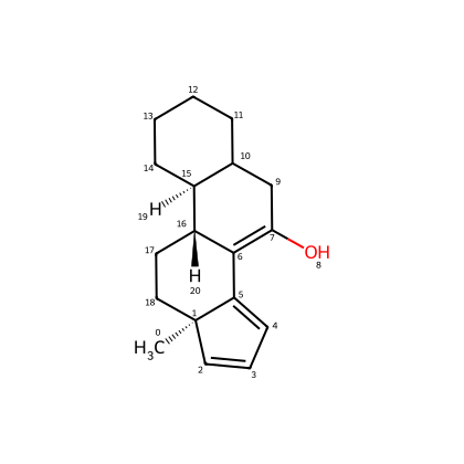 C[C@@]12C=CC=C1C1=C(O)CC3CCCC[C@@H]3[C@H]1CC2